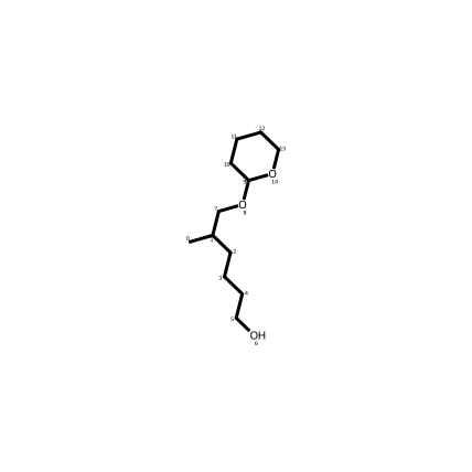 CC(CCCCO)COC1CCCCO1